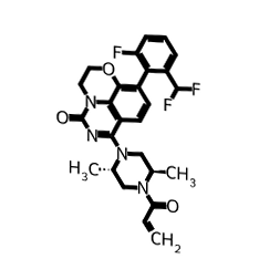 C=CC(=O)N1C[C@H](C)N(c2nc(=O)n3c4c(c(-c5c(F)cccc5C(F)F)ccc24)OCC3)C[C@H]1C